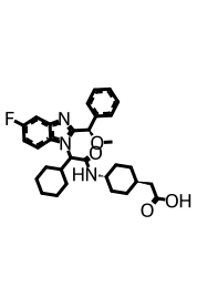 CO[C@H](c1ccccc1)c1nc2cc(F)ccc2n1C(C(=O)N[C@H]1CC[C@H](CC(=O)O)CC1)C1CCCCC1